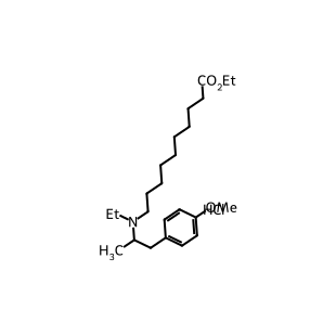 CCOC(=O)CCCCCCCCCN(CC)C(C)Cc1ccc(OC)cc1.Cl